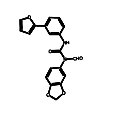 O=CN(C(=O)Nc1cccc(-c2ccco2)c1)c1ccc2c(c1)OCO2